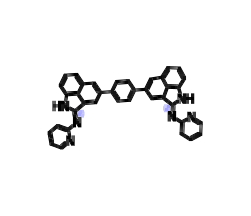 c1ccc(/N=C2\Nc3cccc4cc(-c5ccc(-c6cc7c8c(cccc8c6)N/C7=N\c6ccccn6)cc5)cc2c34)nc1